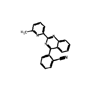 Cc1cccc(-c2nc(-c3ccccc3C#N)c3ccccc3n2)n1